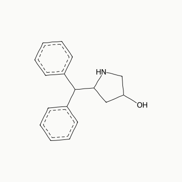 OC1CNC(C(c2ccccc2)c2ccccc2)C1